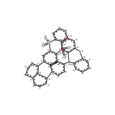 O=S1(=O)c2ccccc2S(=O)(=O)c2cc(-c3cccc4cccc(-c5ccc(N6c7ccccc7Sc7ccccc76)cc5)c34)ccc21